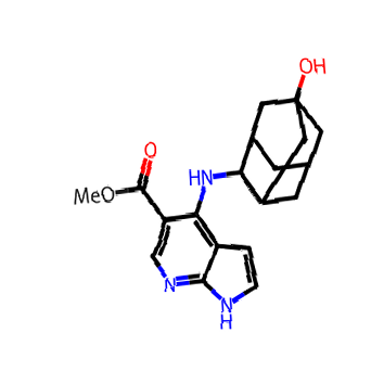 COC(=O)c1cnc2[nH]ccc2c1NC1C2CC3CC1CC(O)(C3)C2